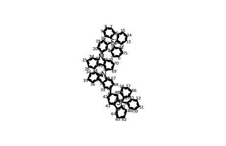 c1ccc([Si](c2ccccc2)(c2ccccc2)c2cccc(-n3c4ccccc4c4c(-n5c6ccccc6c6cc(-c7ccc8c(c7)[Si](c7ccccc7)(c7ccccc7)c7ccccc7-8)ccc65)cccc43)c2)cc1